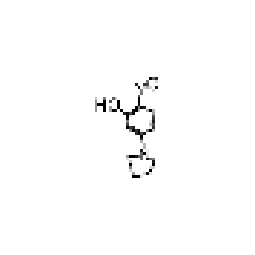 O=Nc1ccc(N2CCCC2)cc1O